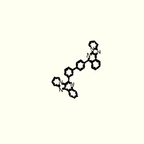 c1cc(-c2ccc(-c3nc4c(nc5ccccn54)c4ccccc34)cc2)cc(-c2nc3ccccc3c3nc4ccccn4c23)c1